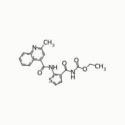 CCOC(=O)NC(=O)c1ccsc1NC(=O)c1cc(C)nc2ccccc12